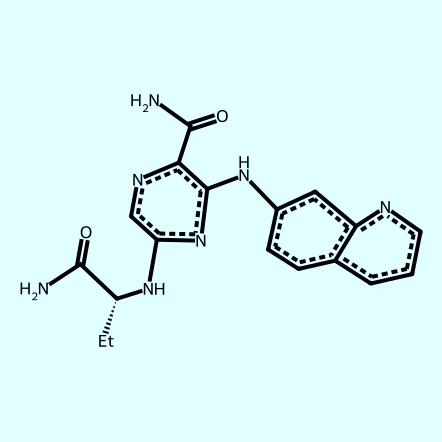 CC[C@@H](Nc1cnc(C(N)=O)c(Nc2ccc3cccnc3c2)n1)C(N)=O